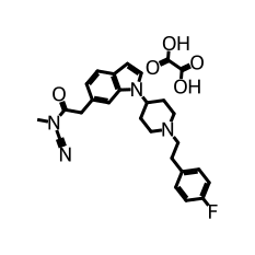 CN(C#N)C(=O)Cc1ccc2ccn(C3CCN(CCc4ccc(F)cc4)CC3)c2c1.O=C(O)C(=O)O